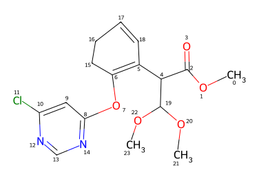 COC(=O)C(C1=C(Oc2cc(Cl)ncn2)CCC=C1)C(OC)OC